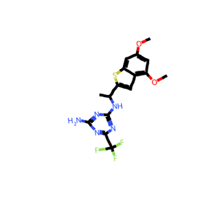 COc1cc(OC)c2cc(C(C)Nc3nc(N)nc(C(F)(F)F)n3)sc2c1